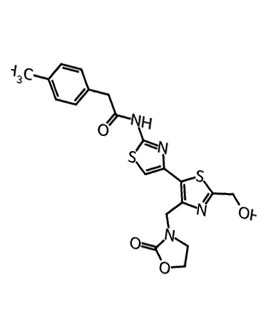 Cc1ccc(CC(=O)Nc2nc(-c3sc(CO)nc3CN3CCOC3=O)cs2)cc1